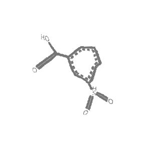 O=C(O)c1cccc([SH](=O)=O)c1